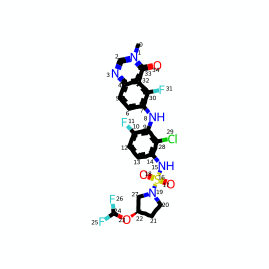 Cn1cnc2ccc(Nc3c(F)ccc(NS(=O)(=O)N4CC[C@@H](OC(F)F)C4)c3Cl)c(F)c2c1=O